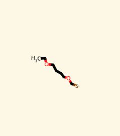 CCOCCCCOC[S]